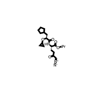 CC(C)OC(=O)[C@H](CCC(=O)C=[N+]=[N-])NC(=O)[C@H](CC1CCCC1)OC1CC1